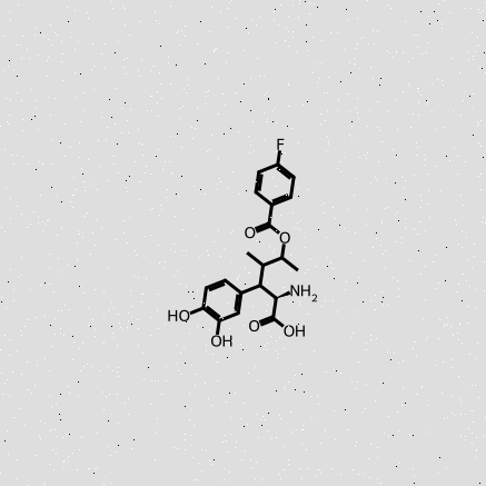 CC(OC(=O)c1ccc(F)cc1)C(C)C(c1ccc(O)c(O)c1)[C@@H](N)C(=O)O